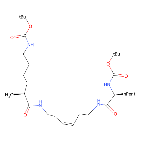 CCCCC[C@H](NC(=O)OC(C)(C)C)C(=O)NCC/C=C\CCNC(=O)[C@@H](C)CCCCNC(=O)OC(C)(C)C